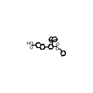 O=C(O)c1ccc2cc(-c3ccc(C(=O)OCc4ccccc4)c(C45CC6CC(CC(C6)C4)C5)c3)ccc2c1